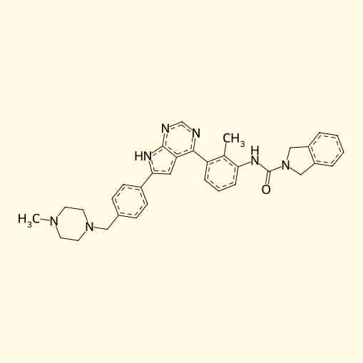 Cc1c(NC(=O)N2Cc3ccccc3C2)cccc1-c1ncnc2[nH]c(-c3ccc(CN4CCN(C)CC4)cc3)cc12